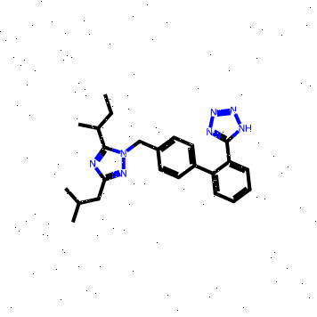 CCC(C)c1nc(CC(C)C)nn1Cc1ccc(-c2ccccc2-c2nnn[nH]2)cc1